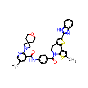 Cc1cnc(N2CC3(CCOCC3)C2)c(C(=O)Nc2ccc(C(=O)N3CCc4cc(-c5nc6ccccc6[nH]5)sc4-c4cc(C)sc43)cc2)c1